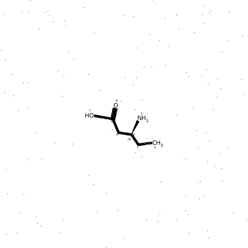 CC[C@H](N)CC(=O)O